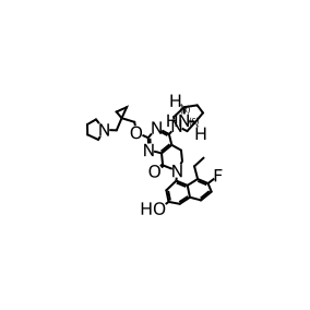 CCc1c(F)ccc2cc(O)cc(N3CCc4c(nc(OCC5(CN6CCCC6)CC5)nc4N4C[C@H]5CC[C@@H](C4)N5)C3=O)c12